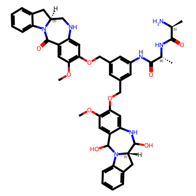 COc1cc2c(cc1OCc1cc(COc3cc4c(cc3OC)C(O)N3c5ccccc5C[C@H]3C(O)N4)cc(NC(=O)[C@@H](C)NC(=O)[C@H](C)N)c1)NC[C@@H]1Cc3ccccc3N1C2=O